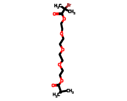 C=C(C)C(=O)OCCOCCOCCOCCOC(=O)C(C)(C)Br